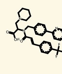 O=C(O)C(CN1CCCCC1)N(Cc1ccc(-c2ccccn2)cc1)C(=O)/C=C/c1ccc(C(F)(F)F)cc1